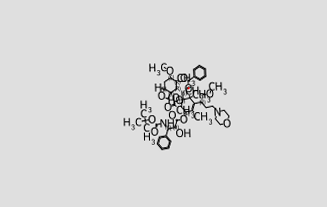 COC[C@H](CCN1CCOCC1)C1=C(C)[C@@H](OC(=O)[C@H](O)[C@@H](NC(=O)OC(C)(C)C)c2ccccc2)C[C@@](O)([C@@H](OC(=O)c2ccccc2)[C@H]2[C@@H](C)[C@@H](OC)C[C@H]3OC[C@@]23OC(C)=O)C1(C)C